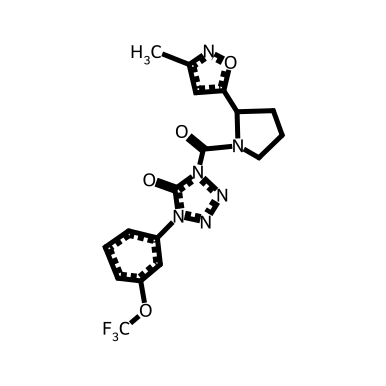 Cc1cc(C2CCCN2C(=O)n2nnn(-c3cccc(OC(F)(F)F)c3)c2=O)on1